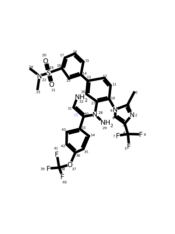 Cc1nc(C(F)(F)F)cn1-c1ccc(-c2cccc(S(=O)(=O)N(C)C)c2)cc1N(N)/C(=C\N)c1ccc(OC(F)(F)F)cc1